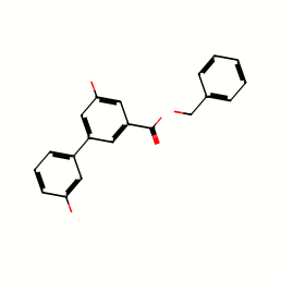 O=C(OCc1ccccc1)c1cc(O)cc(-c2cccc(O)c2)c1